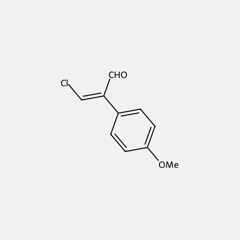 COc1ccc(C(C=O)=CCl)cc1